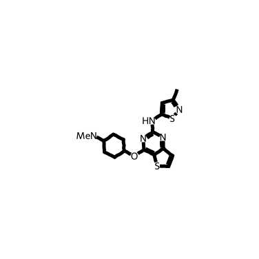 CNC1CCC(Oc2nc(Nc3cc(C)ns3)nc3ccsc23)CC1